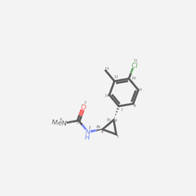 CNC(=O)N[C@@H]1C[C@H]1c1ccc(Cl)c(C)c1